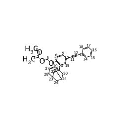 COC(C)OCOc1ccc(C#Cc2cc[c]cc2)cc1C12CC3CC(CC(C3)C1)C2